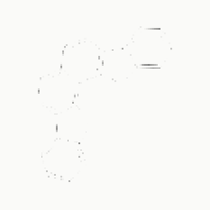 c1ccc2c(c1)oc1c2ccc2ccc3c4ccccc4oc3c21